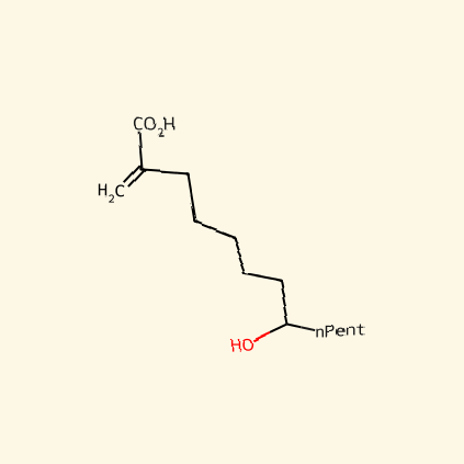 C=C(CCCCCC(O)CCCCC)C(=O)O